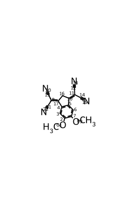 COc1cc2c(cc1OC)C(=C(C#N)C#N)CC2=C(C#N)C#N